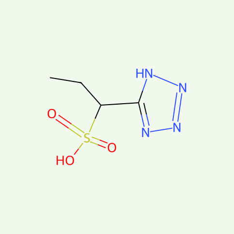 CCC(c1nnn[nH]1)S(=O)(=O)O